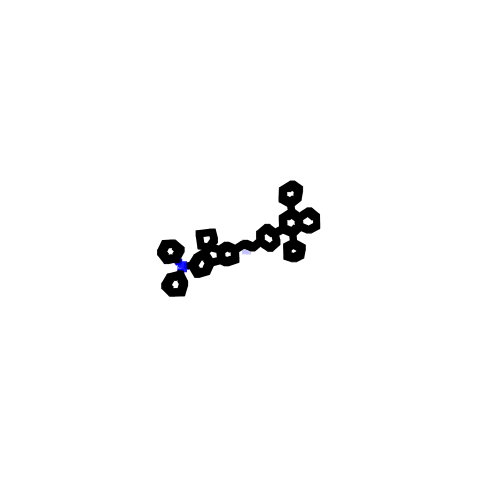 C1=Cc2c(-c3ccccc3)cc(C3=CC=C(/C=C/c4ccc5c(c4)C4(CCCC4)c4cc(N(c6ccccc6)c6ccccc6)ccc4-5)CC3)c(-c3ccccc3)c2CC1